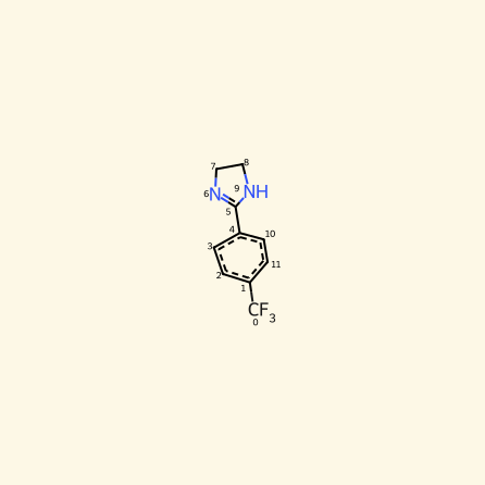 FC(F)(F)c1ccc(C2=NCCN2)cc1